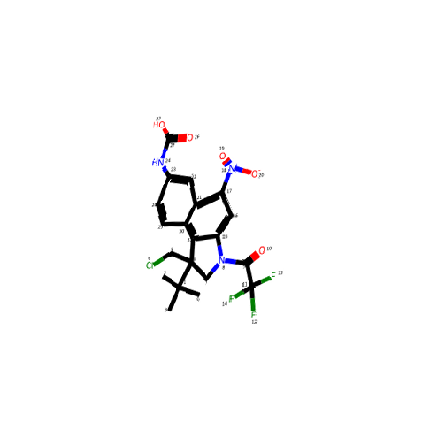 CC(C)(C)C1(CCl)CN(C(=O)C(F)(F)F)c2cc([N+](=O)[O-])c3cc(NC(=O)O)ccc3c21